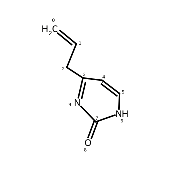 C=CCc1[c]c[nH]c(=O)n1